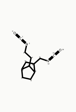 O=C=NCCC1C2CCC1C(CN=C=O)C2